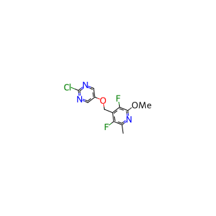 COc1nc(C)c(F)c(COc2cnc(Cl)nc2)c1F